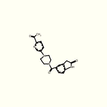 CC(=O)c1ccc(N2CCN(C(=O)c3ccc4c(c3)CC(=O)N4)CC2)cn1